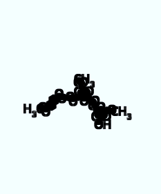 COCCn1c(=O)n(CCO)c(=O)n(CCOC(=O)CCn2c(=O)n(CCC(=O)OC)c(=O)n(CCC(=O)OCCOC(=O)c3ccc4cc(C(=O)OC)ccc4c3)c2=O)c1=O